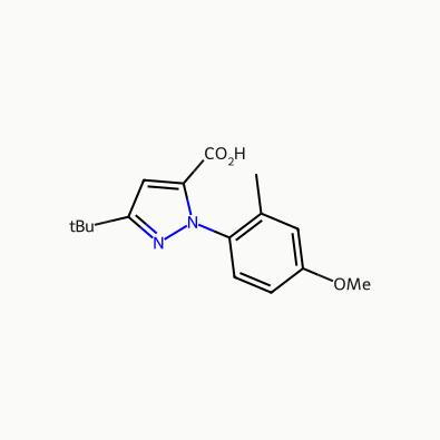 COc1ccc(-n2nc(C(C)(C)C)cc2C(=O)O)c(C)c1